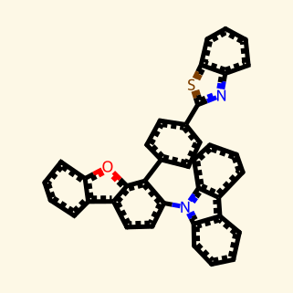 c1ccc2sc(-c3ccc(-c4c(-n5c6ccccc6c6ccccc65)ccc5c4oc4ccccc45)cc3)nc2c1